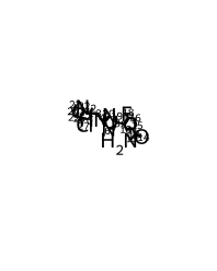 CC(C)(CNc1ncc(-c2cc(C(N)=O)ccc2F)cn1)c1ncccc1Cl